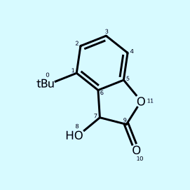 CC(C)(C)c1cccc2c1C(O)C(=O)O2